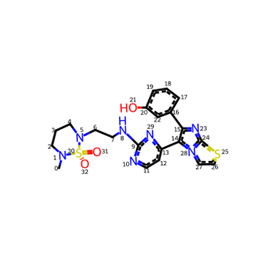 CN1CCCN(CCNc2nccc(-c3c(-c4cccc(O)c4)nc4sccn34)n2)S1(=O)=O